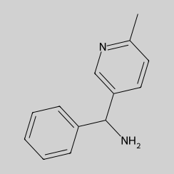 Cc1ccc(C(N)c2ccccc2)cn1